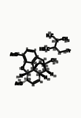 CC(=O)Oc1ccc2c3c1O[C@H]1[C@@H](OC(C)=O)C=C[C@H]4[C@@H](C2)N(C)CC[C@@]341.CC(C)CC(C(=O)O)N(C)C